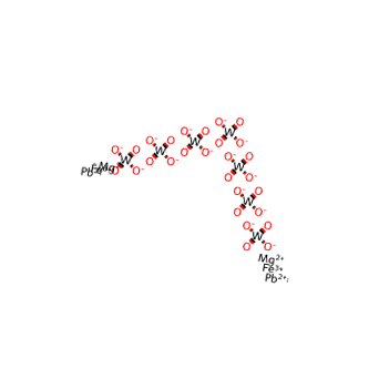 [Fe+3].[Fe+3].[Mg+2].[Mg+2].[O]=[W](=[O])([O-])[O-].[O]=[W](=[O])([O-])[O-].[O]=[W](=[O])([O-])[O-].[O]=[W](=[O])([O-])[O-].[O]=[W](=[O])([O-])[O-].[O]=[W](=[O])([O-])[O-].[O]=[W](=[O])([O-])[O-].[Pb+2].[Pb+2]